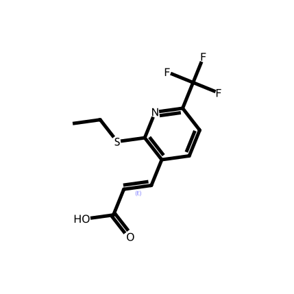 CCSc1nc(C(F)(F)F)ccc1/C=C/C(=O)O